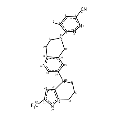 Cc1cc(C#N)nnc1N1CCc2ncc(N3CCCn4nc(C(F)(F)F)cc43)cc2C1